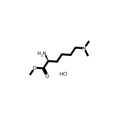 COC(=O)[C@@H](N)CCCCN(C)C.Cl